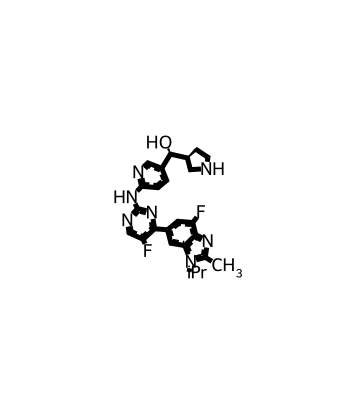 Cc1nc2c(F)cc(-c3nc(Nc4ccc([C@H](O)[C@H]5CCNC5)cn4)ncc3F)cc2n1C(C)C